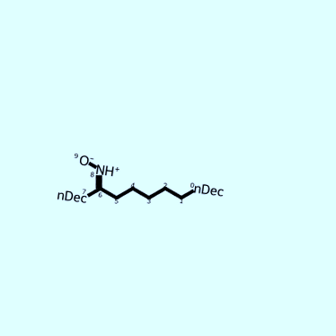 CCCCCCCCCCCCCCCC(CCCCCCCCCC)=[NH+][O-]